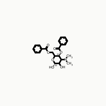 CN(C)C1C(O)[C@H](O)OC(COC(=O)c2ccccc2)[C@H]1OC(=O)c1ccccc1